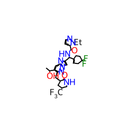 CCn1nccc1C(=O)N[C@@H](C1=CCC(F)(F)CC1)c1cn2nc(CC3C[C@@H](C(F)(F)F)CNC3=O)c(C(C)O)cc2n1